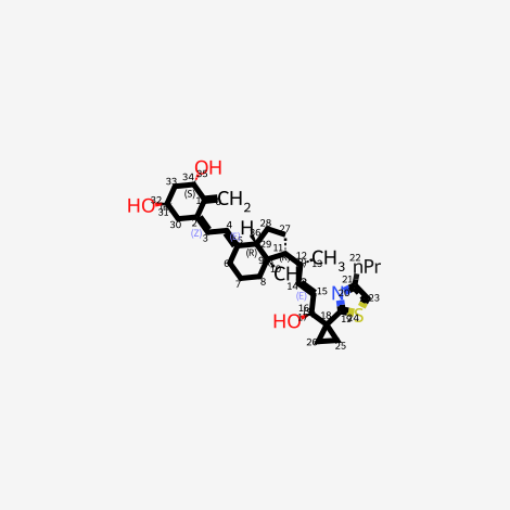 C=C1/C(=C\C=C2/CCC[C@]3(C)[C@@H]([C@H](C)/C=C/[C@H](O)C4(c5nc(CCC)cs5)CC4)CC[C@@H]23)C[C@@H](O)C[C@@H]1O